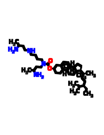 CC[C@H](CC[C@@H](C)[C@H]1CC[C@H]2[C@@H]3CC=C4C[C@@H](OC(=O)N(CCCCNCCC(C)N)CCC(C)N)CC[C@]4(C)[C@H]3CC[C@]12C)C(C)C